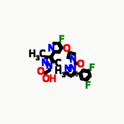 Cc1nn(CC(=O)O)c(C)c1-c1cc(OC2CN(C(=O)N3N=CC[C@H]3c3cc(F)cc(F)c3)C2)c(F)cn1